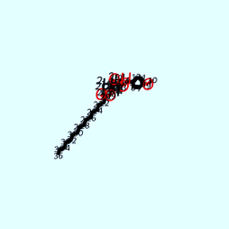 [2H]C([2H])(OCc1ccc(OC)cc1)C([2H])(O)C([2H])([2H])OC(=O)CCCCCCCCCCCCCCC